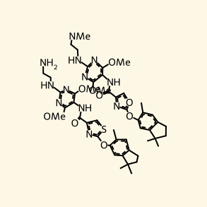 CNCCNc1nc(OC)c(NC(=O)c2coc(Oc3cc4c(cc3C)CCC4(C)C)n2)c(OC)n1.COc1nc(NCCN)nc(OC)c1NC(=O)c1csc(Oc2cc3c(cc2C)CCC3(C)C)n1